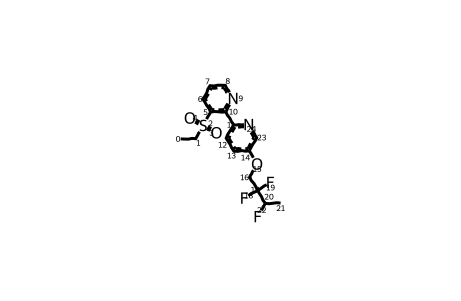 CCS(=O)(=O)c1cccnc1-c1ccc(OCC(F)(F)C(C)F)cn1